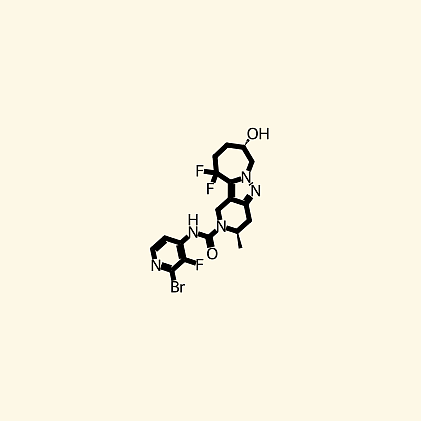 C[C@@H]1Cc2nn3c(c2CN1C(=O)Nc1ccnc(Br)c1F)C(F)(F)CC[C@H](O)C3